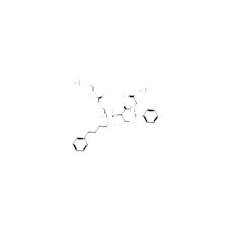 CCOC(=O)OCOP(=O)(CCCCc1ccccc1)NC1CS[C@H](c2ccccc2)N(CC(=O)O)C1=O